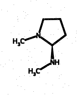 CN[C@@H]1CCCN1C